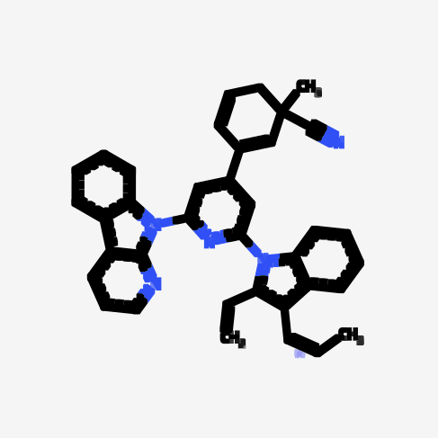 C=Cc1c(/C=C\C)c2ccccc2n1-c1cc(C2=CC(C)(C#N)CC=C2)cc(-n2c3ccccc3c3cccnc32)n1